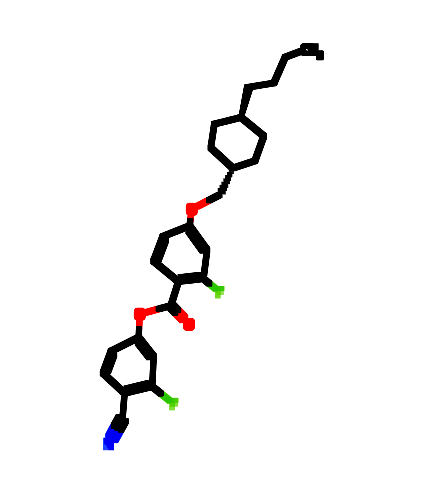 CCCC[C@H]1CC[C@H](COc2ccc(C(=O)Oc3ccc(C#N)c(F)c3)c(F)c2)CC1